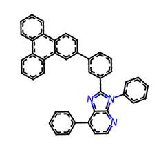 c1ccc(-c2ccnc3c2nc(-c2cccc(-c4ccc5c6ccccc6c6ccccc6c5c4)c2)n3-c2ccccc2)cc1